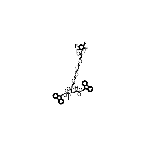 O=C(CC[C@H](NC(=O)OCC1c2ccccc2-c2ccccc21)C(=O)NCCOCCOCCOCCOCCC(=O)Oc1c(F)c(F)cc(F)c1F)OCC1c2ccccc2-c2ccccc21